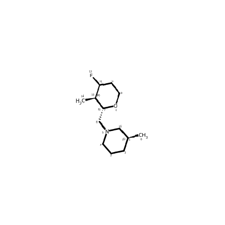 C[C@H]1CCCN(C[C@H]2OCCC(F)[C@@H]2C)C1